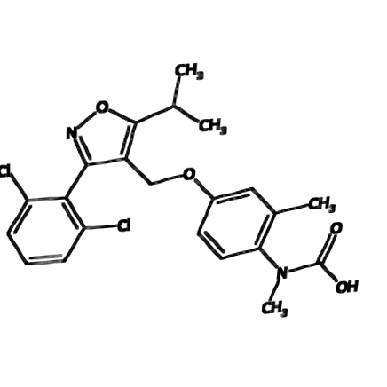 Cc1cc(OCc2c(-c3c(Cl)cccc3Cl)noc2C(C)C)ccc1N(C)C(=O)O